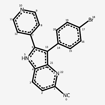 [C-]#[N+]c1ccc2[nH]c(-c3ccncc3)c(-c3ccc(Br)cc3)c2n1